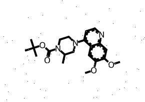 COc1cc2nccc(N3CCN(C(=O)OC(C)(C)C)C(C)C3)c2cc1OC